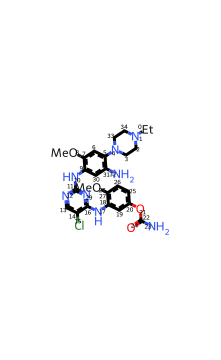 CCN1CCN(c2cc(OC)c(Nc3ncc(Cl)c(Nc4cc(OC(N)=O)ccc4OC)n3)cc2N)CC1